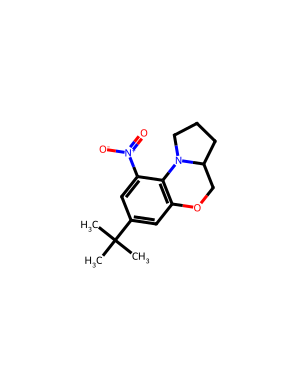 CC(C)(C)c1cc2c(c([N+](=O)[O-])c1)N1CCCC1CO2